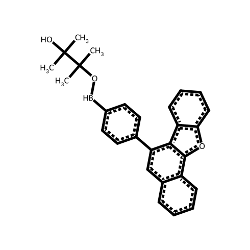 CC(C)(O)C(C)(C)OBc1ccc(-c2cc3ccccc3c3oc4ccccc4c23)cc1